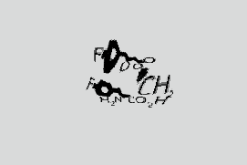 C=CCOC(=O)CC(=O)Cc1ccc(F)cc1.NC(=CC(=O)O)Cc1ccc(F)cc1